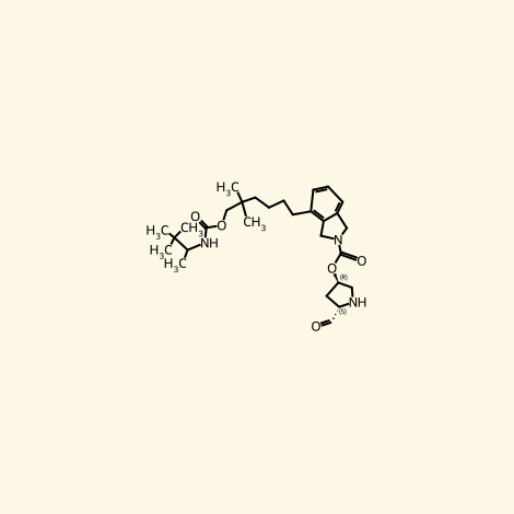 CC(NC(=O)OCC(C)(C)CCCCc1cccc2c1CN(C(=O)O[C@H]1CN[C@H](C=O)C1)C2)C(C)(C)C